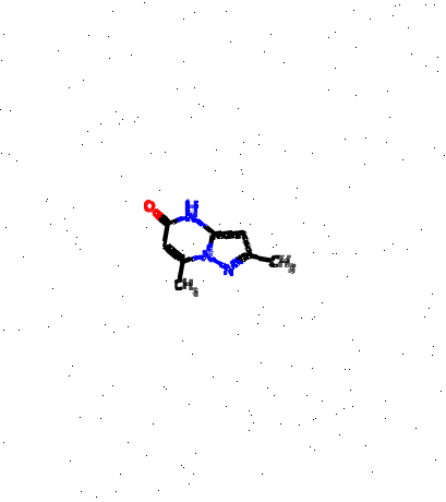 Cc1cc2[nH]c(=O)cc(C)n2n1